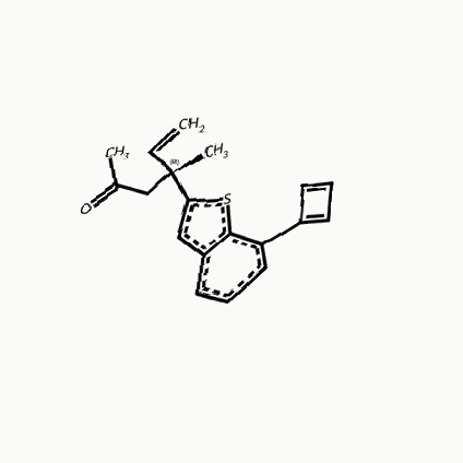 C=C[C@@](C)(CC(C)=O)c1cc2cccc(C3=CC=C3)c2s1